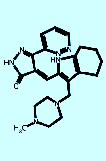 CN1CCN(Cc2c(/C=C3/C(=O)NN=C3c3cccnn3)[nH]c3c2CCCC3)CC1